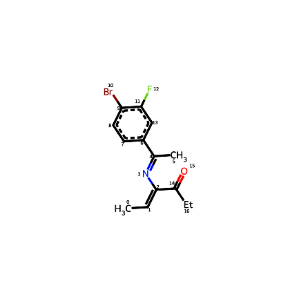 C/C=C(\N=C(/C)c1ccc(Br)c(F)c1)C(=O)CC